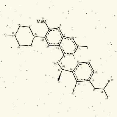 COc1nc2nc(C)nc(N[C@H](C)c3cccc(CC(C)F)c3F)c2cc1N1CCN(C)CC1